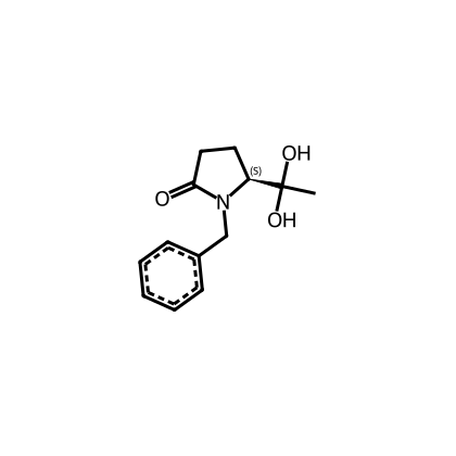 CC(O)(O)[C@@H]1CCC(=O)N1Cc1ccccc1